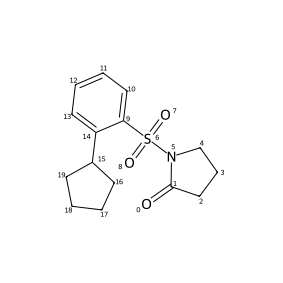 O=C1CCCN1S(=O)(=O)c1ccccc1C1CCCC1